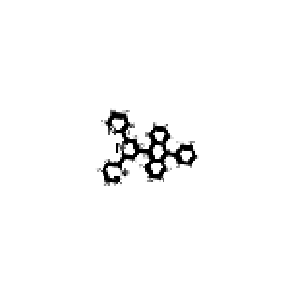 c1ccc(-c2c3ccccc3c(-c3cc(-c4ccccn4)nc(-c4ccccn4)c3)c3ccccc23)cc1